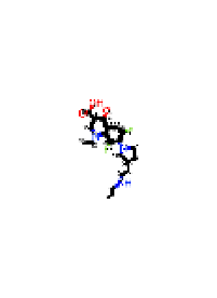 CCNCC[C@@H]1CCN(c2c(F)cc3c(=O)c(C(=O)O)cn(CC)c3c2F)C1